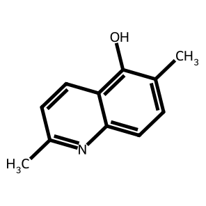 Cc1ccc2c(O)c(C)ccc2n1